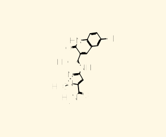 C[C@@H](Nc1cc(C(N)=O)n(C)n1)c1cc2cc(Cl)ccc2[nH]c1=O